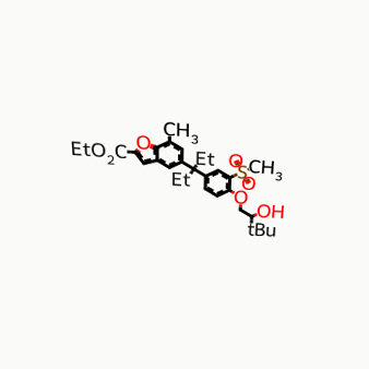 CCOC(=O)c1cc2cc(C(CC)(CC)c3ccc(OCC(O)C(C)(C)C)c(S(C)(=O)=O)c3)cc(C)c2o1